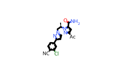 CC(=O)c1cc(C(N)=O)n([C@H](C)Cn2ccc(-c3ccc(C#N)c(Cl)c3)n2)n1